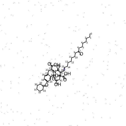 CCCCCCCC(=O)CCCCCC/C=C/[C@H](C(=O)N[C@@H](Cc1ccc(OC2CCCCC2)cc1)C(=O)O)[C@@](O)(CC(=O)O)C(=O)O